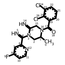 CC1CN(C(=N)c2cc(F)ccn2)C(=N)CN1C(=O)c1cccc(Cl)c1Cl